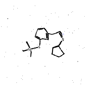 C[Si](C)(C)Sc1cccc(/C=N\C2CCCC2)c1